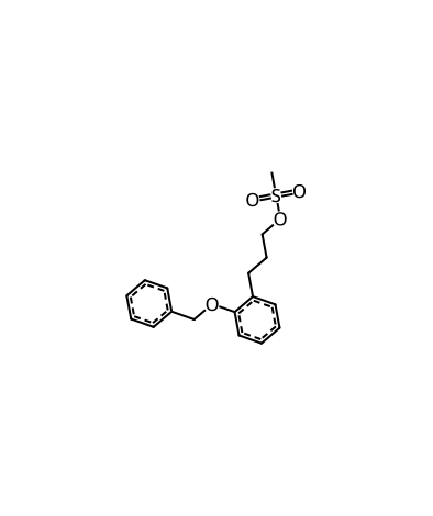 CS(=O)(=O)OCCCc1ccccc1OCc1ccccc1